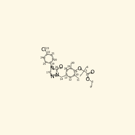 CCOC(=O)C(C)(C)Oc1c(C)cc(Cn2ncn(-c3ccc(Cl)cc3)c2=O)cc1C